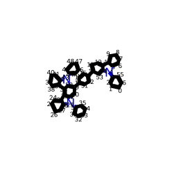 c1ccc(-n2c3ccccc3c3ccc(-c4ccc(-c5cc6c(c7ccccc7n6-c6ccccc6)c6c7ccccc7n(-c7ccccc7)c56)cc4)cc32)cc1